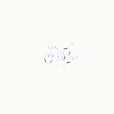 CCC1=C2C(=CC(O)=C(OC)N2[C@@]2(NCc3cc4c(nn3)OCCS4)CCCCO2)NC=C1F